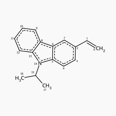 C=Cc1ccc2c(c1)c1ccccc1n2C(C)C